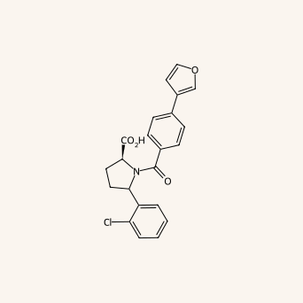 O=C(O)[C@@H]1CCC(c2ccccc2Cl)N1C(=O)c1ccc(-c2ccoc2)cc1